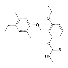 CCOc1cccc(OC(=S)NC)c1COc1cc(C)c(CC)cc1C